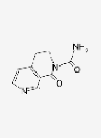 NC(=O)N1CCc2ccn[c]c2C1=O